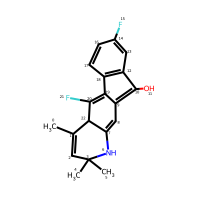 CC1=CC(C)(C)NC2=CC3=C(O)c4cc(F)ccc4C3=C(F)C12